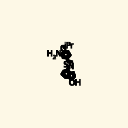 CC(C)Oc1ccc(-c2cnc(-c3cccc4c3CCC4O)s2)cc1N